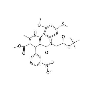 COC(=O)C1=C(C)NC(c2ccc(SC)cc2OC)=C(C(=O)NCC(=O)OC(C)(C)C)C1c1cccc([N+](=O)[O-])c1